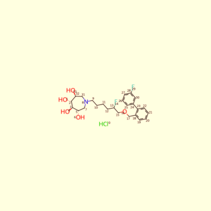 Cl.O[C@H]1[C@H](O)[C@@H](O)CN(CCCCC(F)COCc2ccccc2-c2cccc(F)c2)C[C@@H]1O